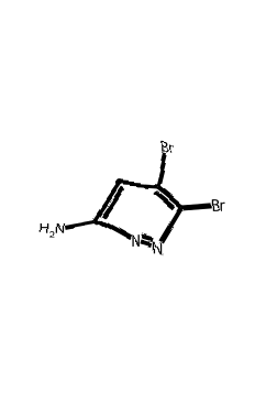 Nc1cc(Br)c(Br)nn1